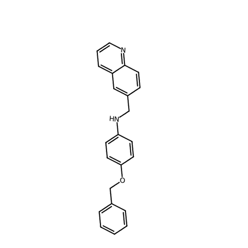 c1ccc(COc2ccc(NCc3ccc4ncccc4c3)cc2)cc1